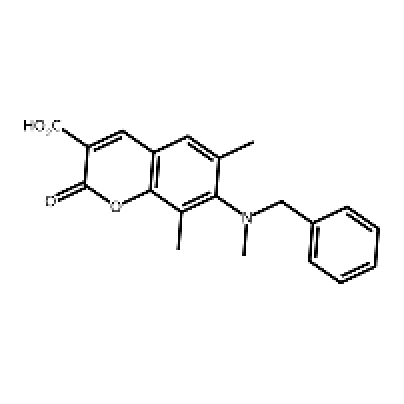 Cc1cc2cc(C(=O)O)c(=O)oc2c(C)c1N(C)Cc1ccccc1